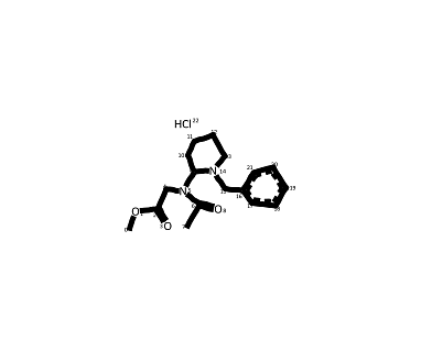 COC(=O)CN(C(C)=O)C1CCCCN1Cc1ccccc1.Cl